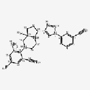 N#Cc1cccc(-n2cc([C@H]3CC[C@H]4CN(c5c(N)cc(F)cc5C#N)CCN43)nn2)c1